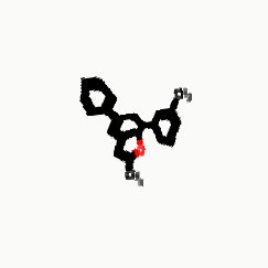 Cc1cccc(-c2cc(-c3ccccc3)cc3c2OC(C)C3)c1